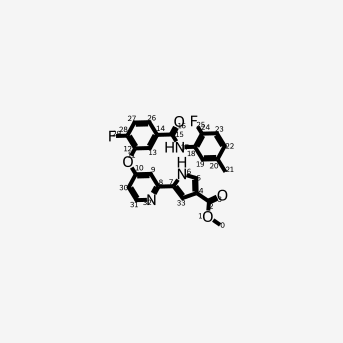 COC(=O)c1c[nH]c(-c2cc(Oc3cc(C(=O)Nc4cc(C)ccc4F)ccc3F)ccn2)c1